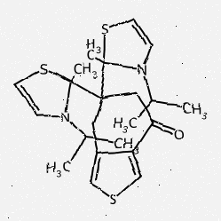 CC(C)N1C=CSC1(C)C1(C2(C)SC=CN2C(C)C)CC(=O)c2cscc2C1